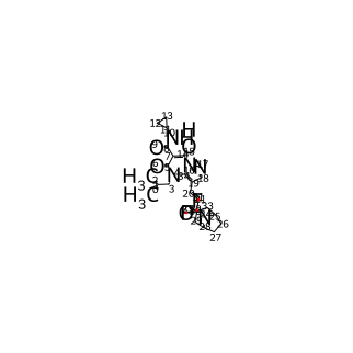 CC(C)Cn1c(=O)c(C(=O)NC2CC2)c(O)n2ncc(C=CC(=O)N3C4CCC3CC(F)(F)C4)c12